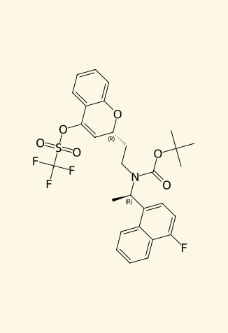 C[C@H](c1ccc(F)c2ccccc12)N(CC[C@@H]1C=C(OS(=O)(=O)C(F)(F)F)c2ccccc2O1)C(=O)OC(C)(C)C